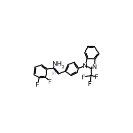 N/C(=C\c1ccc(-n2c(C(F)(F)F)nc3ccccc32)cc1)c1cccc(F)c1F